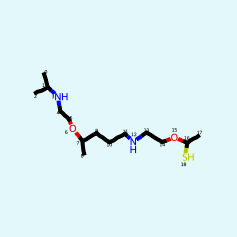 CC(C)NCCOC(C)CCCNCCOC(C)S